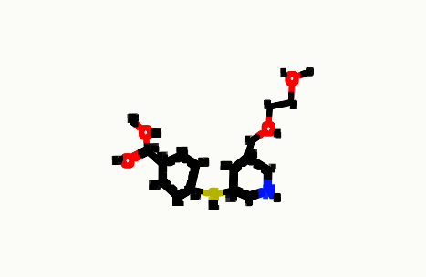 COCCOCc1cncc(Sc2ccc(C(=O)OC)cc2)c1